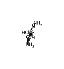 Cl.NC1CCCN(CCc2ccc(-n3ccc(NC(=O)N4CC5(CC(N)C5)C4)nc3=O)cc2)CC1